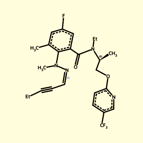 CCC#C/C=N\N(C)c1c(C)cc(F)cc1C(=O)N(CC)[C@@H](C)COc1ccc(C(F)(F)F)cn1